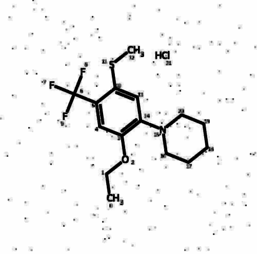 CCOc1cc(C(F)(F)F)c(SC)cc1N1CCCCC1.Cl